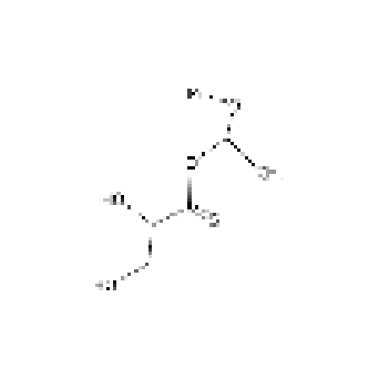 CC(C)OC(C)OC(=S)C(O)CO